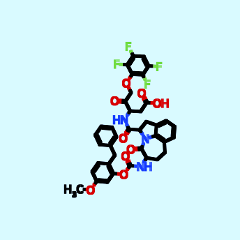 COc1ccc(Cc2ccccc2)c(OC(=O)NC2CCc3cccc4c3N(C2=O)C(C(=O)NC(CC(=O)O)C(=O)COc2c(F)c(F)cc(F)c2F)C4)c1